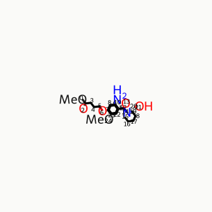 COC(=O)CCCOc1cc(N)c(C(=O)N2CCCC[C@H]2CO)cc1OC